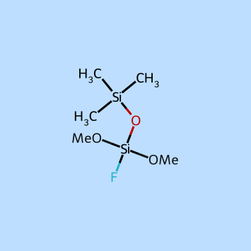 CO[Si](F)(OC)O[Si](C)(C)C